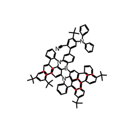 CC(C)(C)c1ccc(C(c2ccc(C(C)(C)C)cc2)c2cc3c(cc2-c2ccccc2)B2c4ccc(-c5cc(N(c6ccccc6)c6ccccc6)c(C(C)(C)C)cc5C#N)cc4N(c4ccccc4-c4ccccc4)c4cc(-c5ccc(C(C)(C)C)cc5C(C)(C)C)cc(c42)N3c2ccccc2-c2ccccc2)cc1